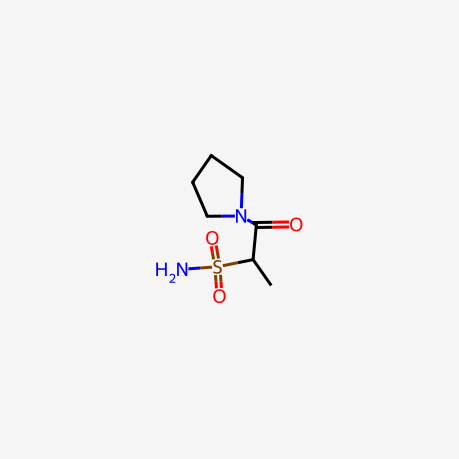 CC(C(=O)N1CCCC1)S(N)(=O)=O